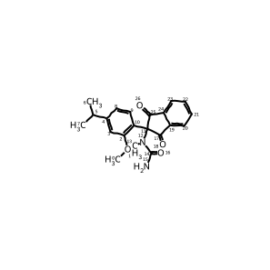 COc1cc(C(C)C)ccc1C1(N(C)C(N)=O)C(=O)c2ccccc2C1=O